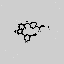 C=CC(=O)N1CCC(Oc2cnc3[nH]cc(-c4cncc(C#N)c4)c3n2)CC1